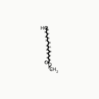 C=COC(=O)CCCCCCCCCCCCCCCO